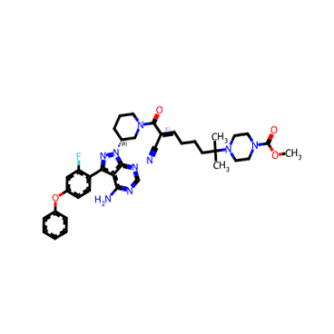 COC(=O)N1CCN(C(C)(C)CCC/C=C(\C#N)C(=O)N2CCC[C@@H](n3nc(-c4ccc(Oc5ccccc5)cc4F)c4c(N)ncnc43)C2)CC1